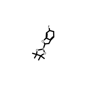 CC1(C)OB(C2CC3=CCC(F)C=C3O2)OC1(C)C